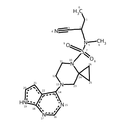 CCC(C#N)N(C)S(=O)(=O)N1CCN(c2ncnc3[nH]ccc23)CC12CC2